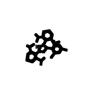 Cc1cc(C)c(C2[C]N(c3c(C(C)C)cccc3C(C)C)NN2c2c(C(C)C)cccc2C(C)C)c(C)c1